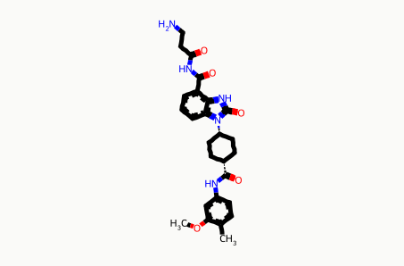 COc1cc(NC(=O)[C@H]2CC[C@@H](n3c(=O)[nH]c4c(C(=O)NC(=O)CCN)cccc43)CC2)ccc1C